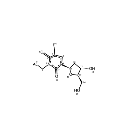 CC(=O)Cn1c(=O)c(F)cn([C@H]2C[C@H](O)[C@@H](CO)O2)c1=O